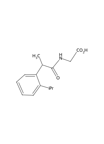 CC(C)c1ccccc1C(C)C(=O)NCC(=O)O